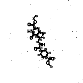 CCOC(=O)c1nc2scc(CNC(=O)c3ccc(C(=O)OC)cc3)c2c(=O)[nH]1